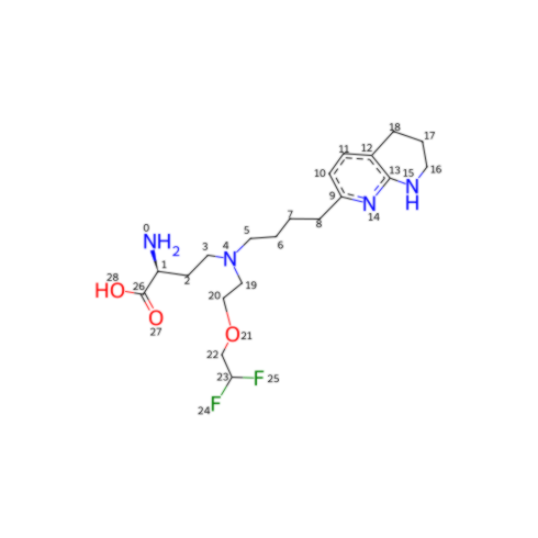 N[C@@H](CCN(CCCCc1ccc2c(n1)NCCC2)CCOCC(F)F)C(=O)O